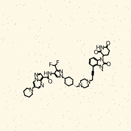 Cn1c(=O)n(C2CCC(=O)NC2=O)c2cccc(C#CCN3CCN(C[C@H]4CC[C@H](n5cc(NC(=O)c6cnn7cc(N8CCCCC8)cnc67)c(C(F)F)n5)CC4)CC3)c21